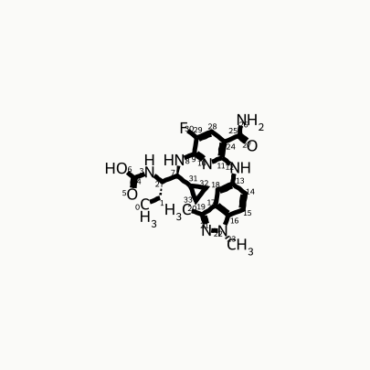 CC[C@H](NC(=O)O)[C@@H](Nc1nc(Nc2ccc3c(c2)c(C)nn3C)c(C(N)=O)cc1F)C1CC1